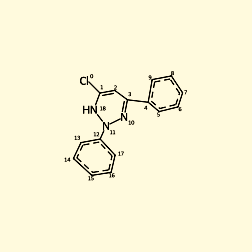 ClC1=CC(c2ccccc2)=NN(c2ccccc2)N1